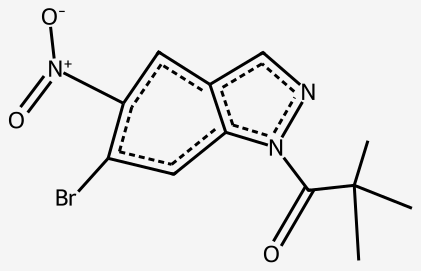 CC(C)(C)C(=O)n1ncc2cc([N+](=O)[O-])c(Br)cc21